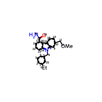 CCc1cccc(Cn2c3cc(COC)c[c]c3c3c(C(N)=O)cccc32)c1